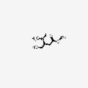 CCC(C)OC(=O)CC(CO)N(C)I